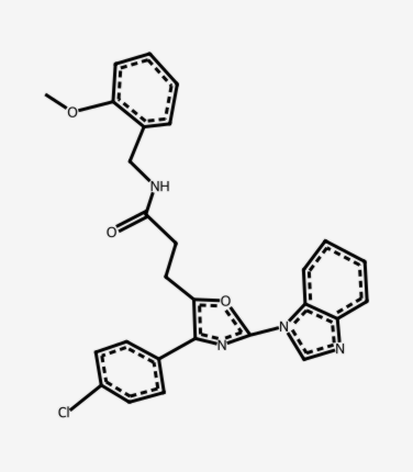 COc1ccccc1CNC(=O)CCc1oc(-n2cnc3ccccc32)nc1-c1ccc(Cl)cc1